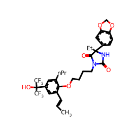 CC=Cc1cc(C(O)(C(F)(F)F)C(F)(F)F)cc(CCC)c1OCCCCN1C(=O)NC(CC)(c2ccc3c(c2)OCO3)C1=O